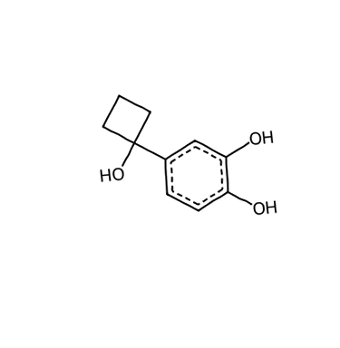 Oc1ccc(C2(O)CCC2)cc1O